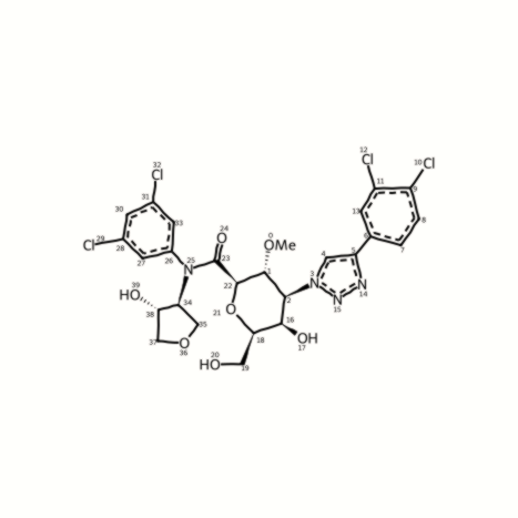 CO[C@@H]1[C@@H](n2cc(-c3ccc(Cl)c(Cl)c3)nn2)[C@@H](O)[C@@H](CO)O[C@H]1C(=O)N(c1cc(Cl)cc(Cl)c1)[C@H]1COC[C@@H]1O